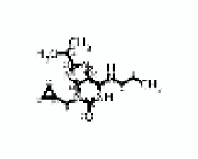 CCCNc1[nH]c(=O)n(CC2CC2)c2nc(C(C)C)nc1-2